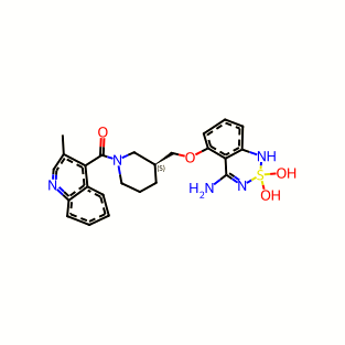 Cc1cnc2ccccc2c1C(=O)N1CCC[C@H](COc2cccc3c2C(N)=NS(O)(O)N3)C1